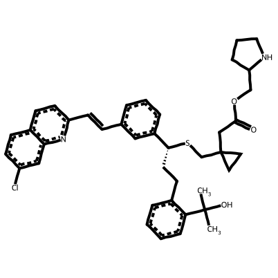 CC(C)(O)c1ccccc1CC[C@@H](SCC1(CC(=O)OCC2CCCN2)CC1)c1cccc(C=Cc2ccc3ccc(Cl)cc3n2)c1